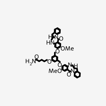 COc1cc2c(cc1OCc1cc(COc3cc4c(cc3OC)C(=O)N3c5ccccc5C[C@H]3CN4)cc(OCCCCC(N)=O)c1)N=C[C@@H]1CC3=C(C=CCC3)N1C2=O